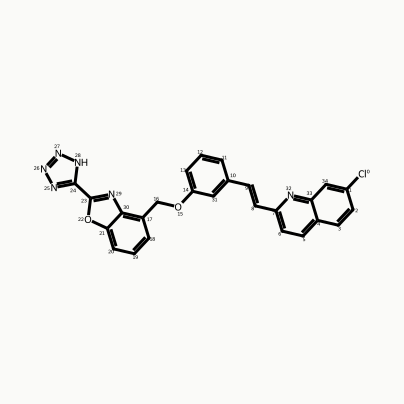 Clc1ccc2ccc(C=Cc3cccc(OCc4cccc5oc(-c6nnn[nH]6)nc45)c3)nc2c1